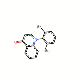 CCc1cccc(C(C)CC)c1-n1ccc(=O)c2ccccc21